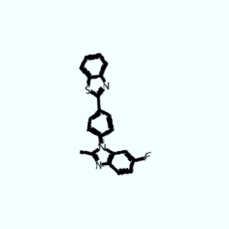 Cc1nc2ccc(F)cc2n1-c1ccc(-c2nc3ccccc3s2)cc1